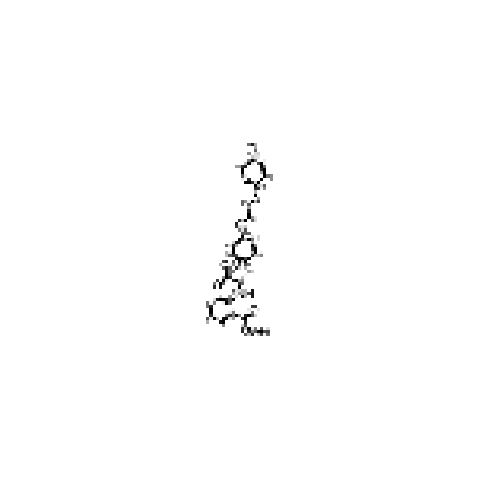 COC(=O)c1ccccc1N[C@@H](Cc1ccc(OCCSc2ccc(Cl)cn2)cc1)C(=O)OC